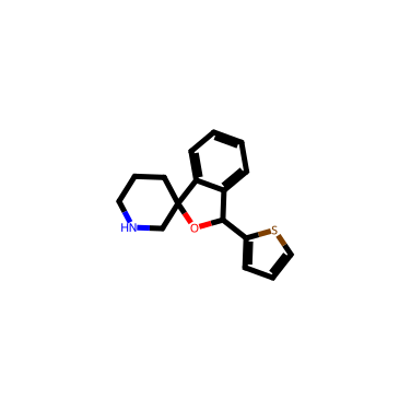 c1csc(C2OC3(CCCNC3)c3ccccc32)c1